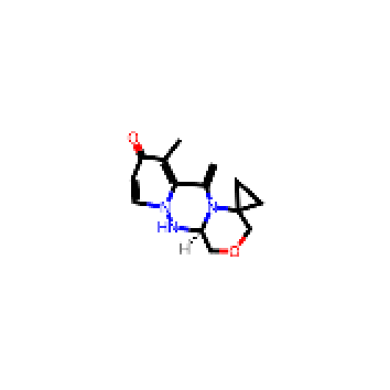 C=C1c2c(C)c(=O)ccn2N[C@@H]2COCC3(CC3)N12